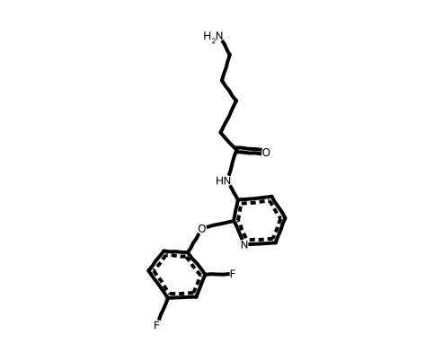 NCCCCC(=O)Nc1cccnc1Oc1ccc(F)cc1F